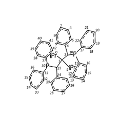 CC(C)C(C(C)C)(C(c1ccccc1)P(c1ccccc1)c1ccccc1)C(c1ccccc1)P(c1ccccc1)c1ccccc1